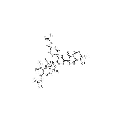 CO[C@@]1(NC(=O)C(NC(=O)c2coc3c(O)c(O)ccc3c2=O)c2ccc(OCC(=O)O)cc2)C(=O)N2C(C(=O)O)=C(COC(C)=O)CS[C@@H]21